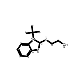 CC(C)(C)N1c2ccccc2SC1SCCO